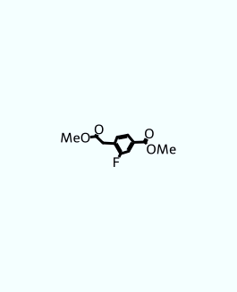 COC(=O)Cc1ccc(C(=O)OC)cc1F